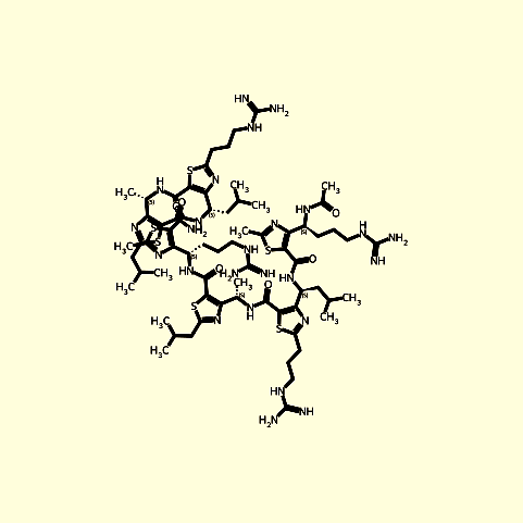 CC(=O)N[C@@H](CCCNC(=N)N)c1nc(C)sc1C(=O)N[C@@H](CC(C)C)c1nc(CCCNC(=N)N)sc1C(=O)N[C@@H](C)c1nc(CC(C)C)sc1C(=O)N[C@@H](CCCNC(=N)N)c1nc(C)sc1C(=O)N[C@@H](CC(C)C)c1nc(CCCNC(=N)N)sc1C(=O)N[C@@H](C)c1nc(CC(C)C)sc1C(N)=O